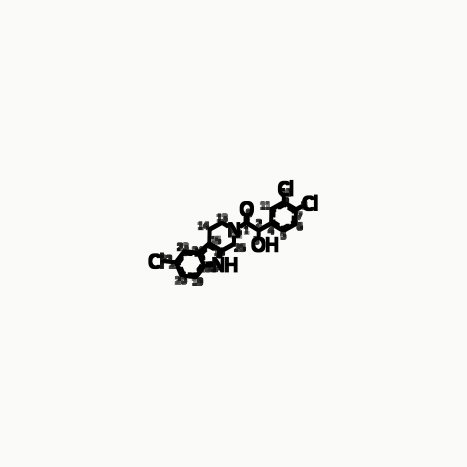 O=C(C(O)c1ccc(Cl)c(Cl)c1)N1CCc2c([nH]c3ccc(Cl)cc23)C1